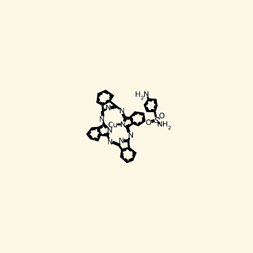 Nc1ccc(S(N)(=O)=O)cc1.c1ccc2c(c1)C1=NC/2=N\c2c3ccccc3c3[n]2[Cu][n]2/c(c4ccccc4/c2=N/C2=N\C(=N/3)c3ccccc32)=N\1